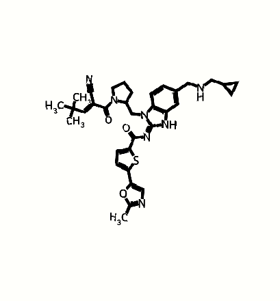 Cc1ncc(-c2ccc(C(=O)N=c3[nH]c4cc(CNCC5CC5)ccc4n3CC3CCCN3C(=O)C(C#N)=CC(C)(C)C)s2)o1